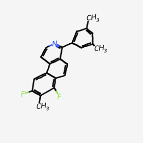 Cc1cc(C)cc(-c2nccc3c2ccc2c(F)c(C)c(F)cc23)c1